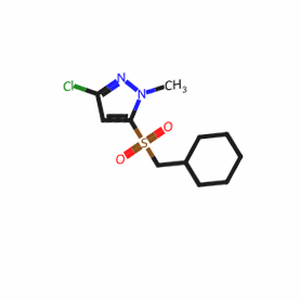 Cn1nc(Cl)cc1S(=O)(=O)CC1CCCCC1